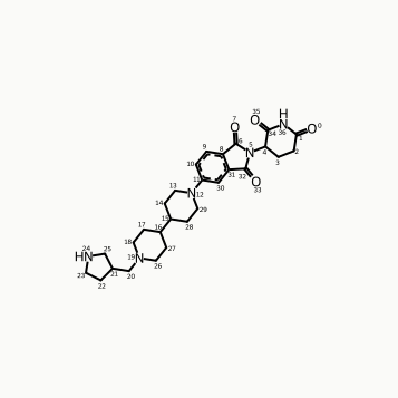 O=C1CCC(N2C(=O)c3ccc(N4CCC(C5CCN(CC6CCNC6)CC5)CC4)cc3C2=O)C(=O)N1